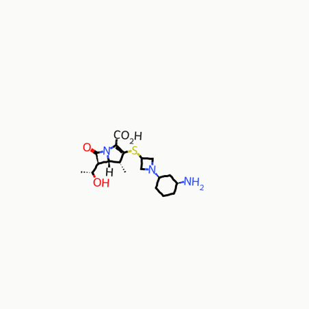 C[C@@H](O)[C@H]1C(=O)N2C(C(=O)O)=C(SC3CN([C@@H]4CCC[C@H](N)C4)C3)[C@H](C)[C@H]12